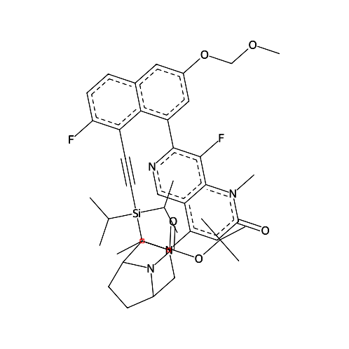 COCOc1cc(-c2ncc3c(N4CC5CCC(C4)N5C(=O)OC(C)(C)C)cc(=O)n(C)c3c2F)c2c(C#C[Si](C(C)C)(C(C)C)C(C)C)c(F)ccc2c1